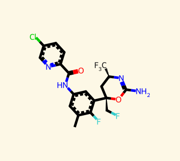 Cc1cc(NC(=O)c2ccc(Cl)cn2)cc([C@]2(CF)C[C@@H](C(F)(F)F)N=C(N)O2)c1F